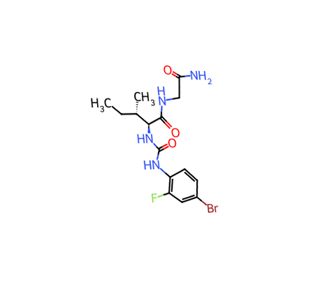 CC[C@H](C)[C@H](NC(=O)Nc1ccc(Br)cc1F)C(=O)NCC(N)=O